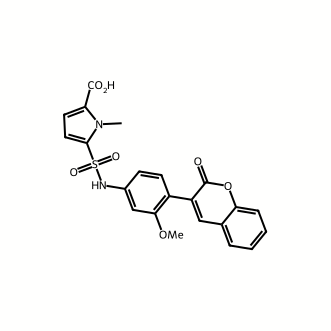 COc1cc(NS(=O)(=O)c2ccc(C(=O)O)n2C)ccc1-c1cc2ccccc2oc1=O